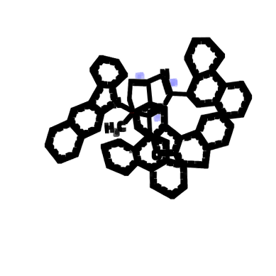 CC1C/C=C(c2cc3c(cc2-n2c4ccccc4c4cc5ccccc5cc42)oc2ccc4ccccc4c23)/N=C(c2cc3ccccc3c3ccccc23)\N=C/1c1cc2ccccc2c2ccccc12